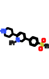 CCS(=O)(=O)c1ccc(C2=CC=C(C3CCNCC3)N(C(C)C)C2)cc1